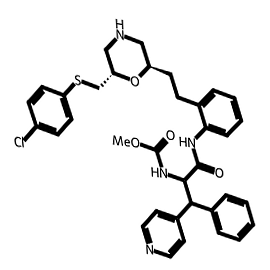 COC(=O)NC(C(=O)Nc1ccccc1CC[C@@H]1CNC[C@@H](CSc2ccc(Cl)cc2)O1)C(c1ccccc1)c1ccncc1